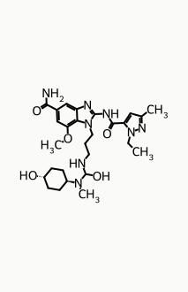 CCn1nc(C)cc1C(=O)Nc1nc2cc(C(N)=O)cc(OC)c2n1CCCNC(O)N(C)[C@H]1CC[C@H](O)CC1